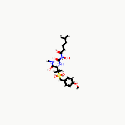 CNC(=O)[C@H](NC(=O)N(O)C(=O)CCCC(C)C)C(C)(C)S(=O)(=O)Cc1ccc(OC)cc1